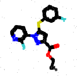 CCOC(=O)c1cc(Sc2cccc(F)c2)n(-c2cccnc2F)n1